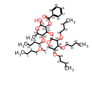 CCCCOC[C@@H]1O[C@H](OC2[C@H](OC(=O)c3ccccc3)C(O)OC(C)[C@@H]2OCCCC)C(OCCCC)C(OCCCC)[C@@H]1OCCCC